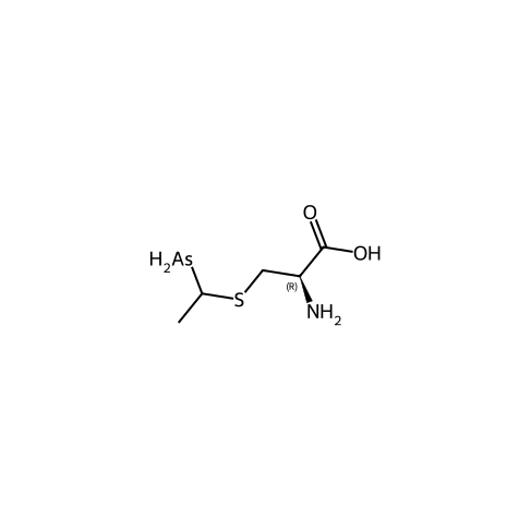 CC([AsH2])SC[C@H](N)C(=O)O